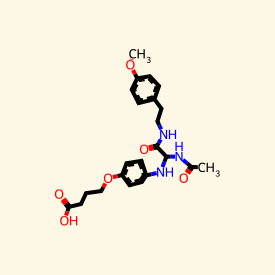 COc1ccc(CCNC(=O)C(NC(C)=O)Nc2ccc(OCCCC(=O)O)cc2)cc1